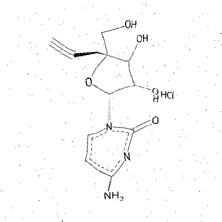 C#C[C@]1(CO)O[C@@H](n2ccc(N)nc2=O)C(O)C1O.Cl